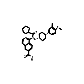 COC(=O)c1ccc2c(N(C[C@H]3CC[C@H](c4ccc(OC)c(C)c4)CC3)C(=O)C3CCCCC3)nccc2c1